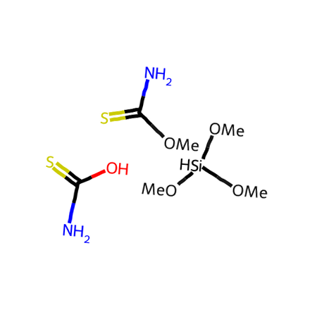 COC(N)=S.CO[SiH](OC)OC.NC(O)=S